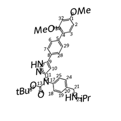 COc1ccc(-c2ccc(-c3cc(N(C(=O)OC(C)(C)C)c4ccc(CNC(C)C)cc4)n[nH]3)cc2)c(OC)c1